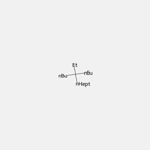 [CH2]CCCCCCC(CC)(CCCC)CCCC